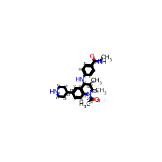 CNC(=O)c1ccc(N[C@H]2c3cc(C4CCNCC4)ccc3N(C(C)=O)[C@@H](C)[C@@H]2C)cc1